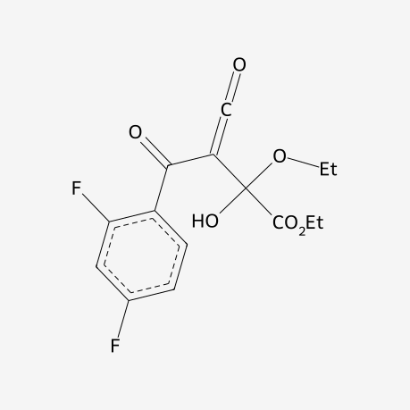 CCOC(=O)C(O)(OCC)C(=C=O)C(=O)c1ccc(F)cc1F